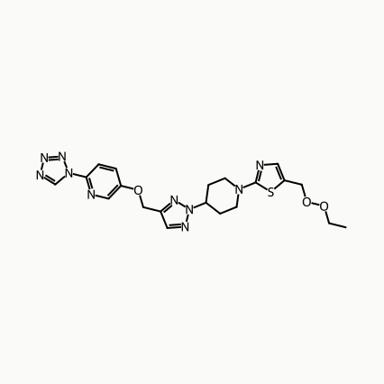 CCOOCc1cnc(N2CCC(n3ncc(COc4ccc(-n5cnnn5)nc4)n3)CC2)s1